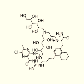 Cc1nc(N)c(C(=O)NC(=N)NCCCCc2ccc(C[C@H](NCCCN(C[C@H](O)[C@@H](O)[C@H](O)[C@H](O)CO)C[C@H](O)[C@@H](O)[C@H](O)[C@H](O)CO)C(N)=O)c3c2CCCC3)nc1Cl